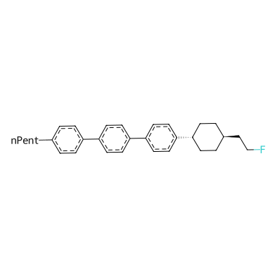 CCCCCc1ccc(-c2ccc(-c3ccc([C@H]4CC[C@H](CCF)CC4)cc3)cc2)cc1